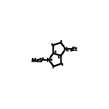 CCN1CCC2C1CCN2SC